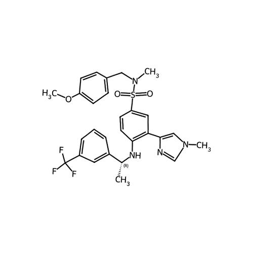 COc1ccc(CN(C)S(=O)(=O)c2ccc(N[C@H](C)c3cccc(C(F)(F)F)c3)c(-c3cn(C)cn3)c2)cc1